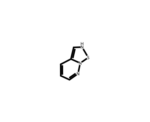 C1=CC2=CNSN2N=C1